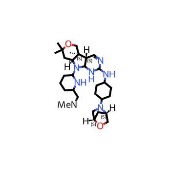 CNCC1CCCC(N2C3NC(NC4CCC(N5C[C@@H]6C[C@H]5CO6)CC4)N=C[C@H]3[C@]3(C)COC(C)(C)C[C@H]23)N1